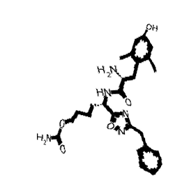 Cc1cc(O)cc(C)c1C[C@@H](N)C(=O)N[C@@H](CCCCOC(N)=O)c1nc(Cc2ccccc2)no1